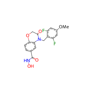 COc1cc(F)c(CN2C(=O)COc3ccc(C(=O)NO)cc32)c(F)c1